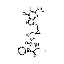 C[C@H](NP(=O)(OC[C@@]1(CO)C/C1=C/n1cnc2c(=O)[nH]c(N)nc21)Oc1ccccc1)C(=O)O